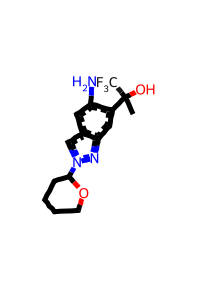 CC(O)(c1cc2nn(C3CCCCO3)cc2cc1N)C(F)(F)F